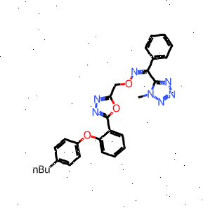 CCCCc1ccc(Oc2ccccc2-c2nnc(CO/N=C(/c3ccccc3)c3nnnn3C)o2)cc1